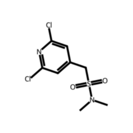 CN(C)S(=O)(=O)Cc1cc(Cl)nc(Cl)c1